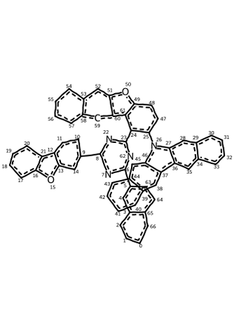 c1ccc2cc(-c3nc(-c4ccc5c(c4)oc4ccccc45)nc(-c4c(-n5c6cc7ccccc7cc6c6cc7ccccc7cc65)ccc5oc6cc7ccccc7cc6c45)n3)ccc2c1